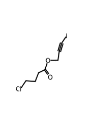 O=C(CCCCl)OCC#CI